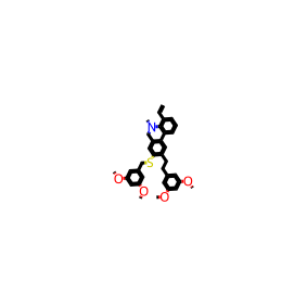 C=Cc1cccc2c1N(C)Cc1cc(SCc3cc(OC)cc(OC)c3)c(CCc3cc(OC)cc(OC)c3)cc1-2